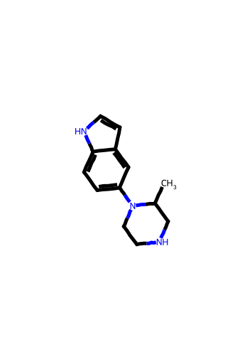 CC1CNCCN1c1ccc2[nH]ccc2c1